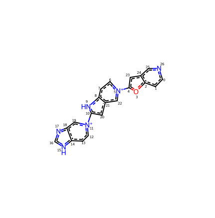 c1cc2oc(-[n+]3ccc4[nH]c(-[n+]5ccc6[nH]cnc6c5)cc4c3)cc2cn1